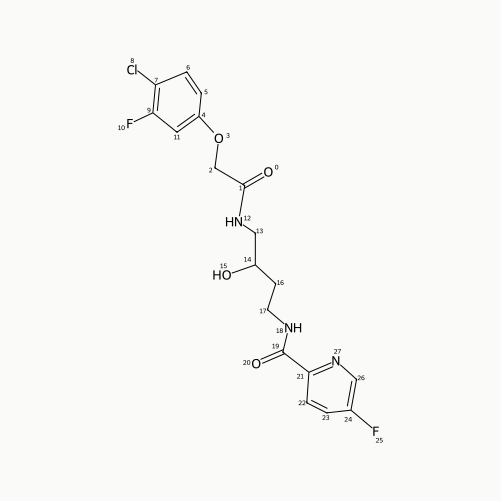 O=C(COc1ccc(Cl)c(F)c1)NCC(O)CCNC(=O)c1ccc(F)cn1